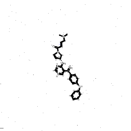 CN(C)C/C=C/C(=O)N1CC[C@@H](Nc2ncncc2C(=N)c2ccc(Oc3ccccc3)cc2)C1